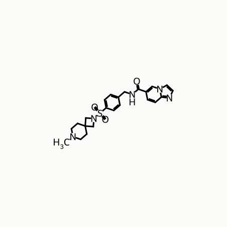 CN1CCC2(CC1)CN(S(=O)(=O)c1ccc(CNC(=O)c3ccc4nccn4c3)cc1)C2